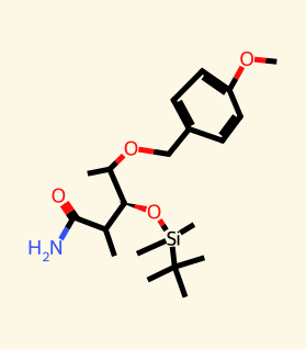 COc1ccc(COC(C)[C@@H](O[Si](C)(C)C(C)(C)C)C(C)C(N)=O)cc1